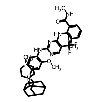 CNC(=O)c1cccc(C)c1Nc1nc(Nc2ccc(OC34CC5CC(C3)C(N3CCN(C)CC3)C(C5)C4)cc2OC)ncc1C(F)(F)F